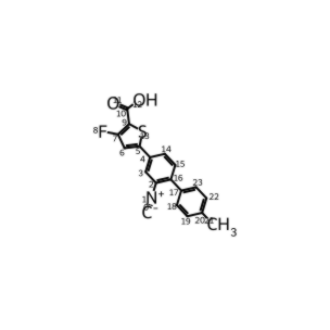 [C-]#[N+]c1cc(-c2cc(F)c(C(=O)O)s2)ccc1-c1ccc(C)cc1